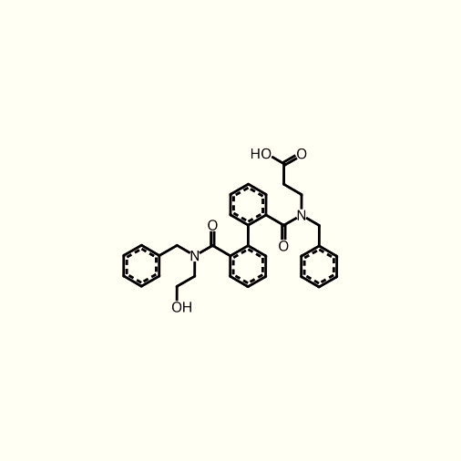 O=C(O)CCN(Cc1ccccc1)C(=O)c1ccccc1-c1ccccc1C(=O)N(CCO)Cc1ccccc1